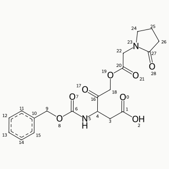 O=C(O)CC(NC(=O)OCc1ccccc1)C(=O)COC(=O)CN1CCCC1=O